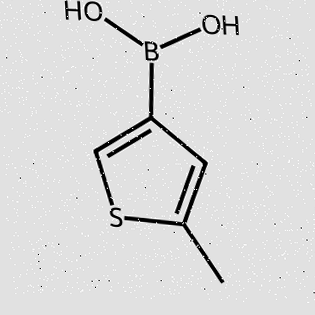 Cc1cc(B(O)O)cs1